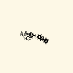 CN(C/C(=C\F)COc1ccc2nc(C34CCC(CC3)CC4)oc2c1)C(=O)OC(C)(C)C